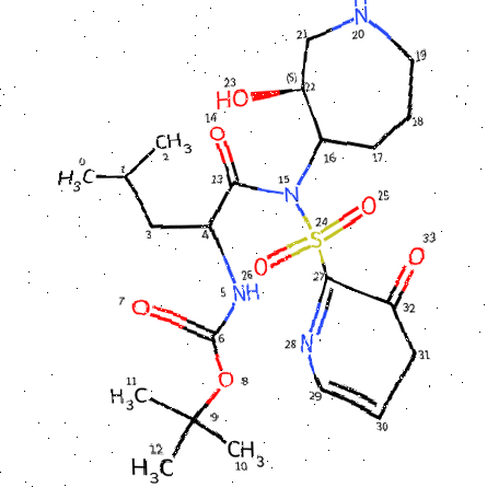 CC(C)CC(NC(=O)OC(C)(C)C)C(=O)N(C1CCCNC[C@@H]1O)S(=O)(=O)C1=NC=CCC1=O